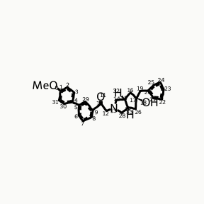 COc1ccc(-c2cccc(C(=O)CN3C[C@@H]4C[C@](O)(Cc5ccccc5)C[C@@H]4C3)c2)cc1